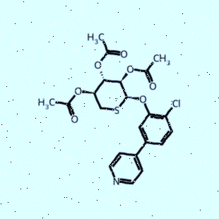 CC(=O)O[C@@H]1[C@@H](OC(C)=O)[C@@H](Oc2cc(-c3ccncc3)ccc2Cl)SC[C@H]1OC(C)=O